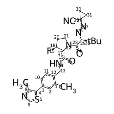 Cc1cc(-c2scnc2C)ccc1CNC(=O)[C@@H]1[C@@H](F)CCN1C(=O)[C@@H](/N=N/C1(C#N)CC1)C(C)(C)C